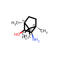 CC1(C)[C@@]2(C)CC[C@]1(C)C(O)[C@@H]2N